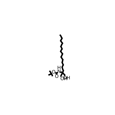 CCCCCCCCCCCCCCC(CO)(CO)NC(=O)OC(C)(C)C